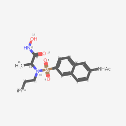 CC(=O)Nc1ccc2cc(S(=O)(=O)N(CCC(C)C)C(C)C(=O)NO)ccc2c1